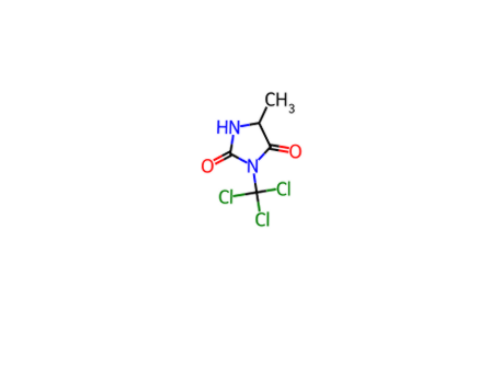 CC1NC(=O)N(C(Cl)(Cl)Cl)C1=O